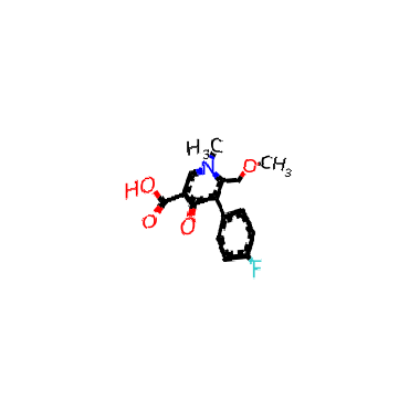 COCc1c(-c2ccc(F)cc2)c(=O)c(C(=O)O)cn1C